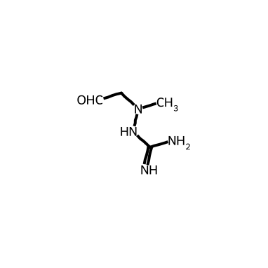 CN(CC=O)NC(=N)N